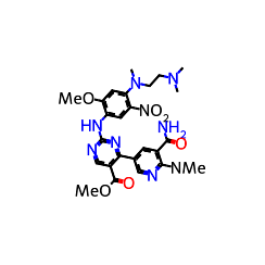 CNc1ncc(-c2nc(Nc3cc([N+](=O)[O-])c(N(C)CCN(C)C)cc3OC)ncc2C(=O)OC)cc1C(N)=O